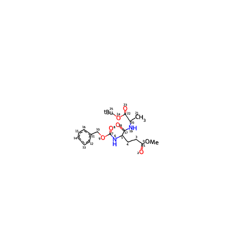 COC(=O)CCC(NC(=O)OCc1ccccc1)C(=O)NC(C)C(=O)OC(C)(C)C